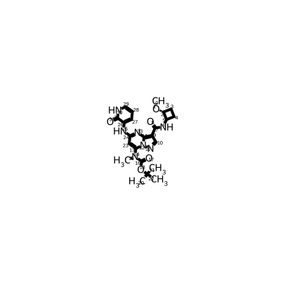 CO[C@H]1CCC1NC(=O)c1cnn2c(N(C)C(=O)OC(C)(C)C)cc(Nc3ccc[nH]c3=O)nc12